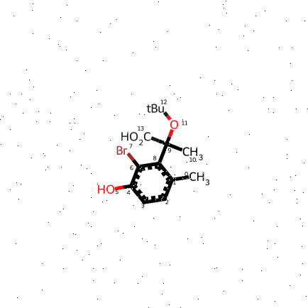 Cc1ccc(O)c(Br)c1C(C)(OC(C)(C)C)C(=O)O